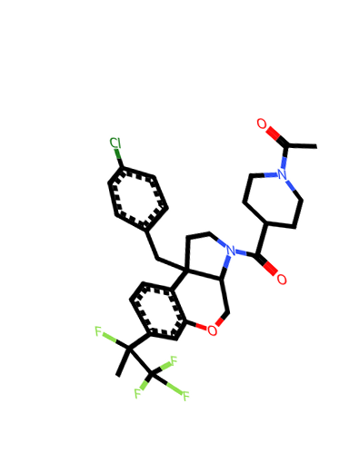 CC(=O)N1CCC(C(=O)N2CCC3(Cc4ccc(Cl)cc4)c4ccc(C(C)(F)C(F)(F)F)cc4OCC23)CC1